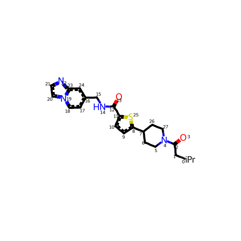 CC(C)CC(=O)N1CCC(c2ccc(C(=O)NCc3ccn4ccnc4c3)s2)CC1